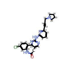 O=C1Cc2cnc(Nc3cccc(C#CCN4CCCC4)n3)nc2-c2ccc(Cl)cc2N1